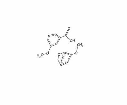 COc1cc2ccc1OC2.COc1cccc(C(=O)O)c1